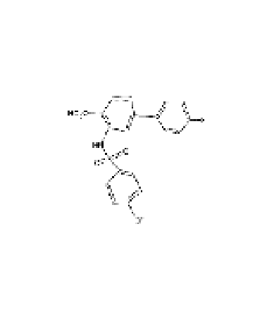 O=C(O)c1ccc(-c2ccc(F)cc2)cc1NS(=O)(=O)c1ccc(C(F)(F)F)cc1